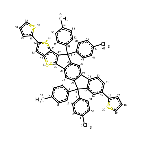 Cc1ccc(C2(c3ccc(C)cc3)c3cc(-c4cccs4)ccc3-c3cc4c(cc32)-c2sc3cc(-c5cccs5)sc3c2C4(c2ccc(C)cc2)c2ccc(C)cc2)cc1